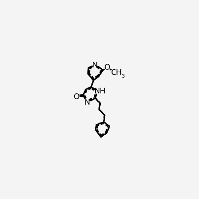 COc1cc(-c2cc(=O)nc(CCCc3ccccc3)[nH]2)ccn1